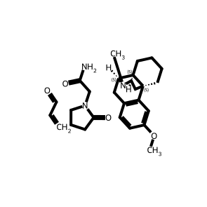 C=CC=O.COc1ccc2c(c1)[C@]13CCCC[C@@H]1[C@H](C2)N(C)CC3.NC(=O)CN1CCCC1=O